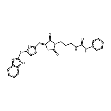 O=C(NCCCN1C(=O)SC(=Cc2ccc(Sc3nc4ccccc4[nH]3)o2)C1=O)Nc1ccccc1